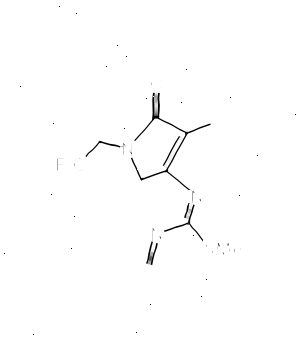 C=N/C(=N\C1=C(C)C(=O)N(CC(F)(F)F)C1)SC